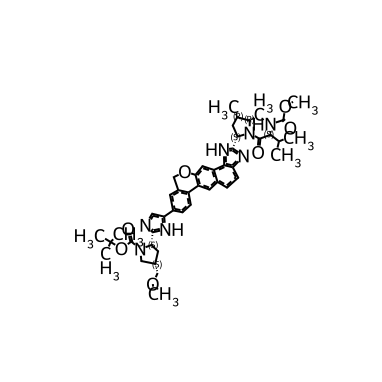 COC[C@H]1C[C@@H](c2ncc(-c3ccc4c(c3)COc3cc5c(ccc6nc([C@@H]7C[C@@H](C)[C@@H](C)N7C(=O)[C@@H](NC(=O)OC)C(C)C)[nH]c65)cc3-4)[nH]2)N(C(=O)OC(C)(C)C)C1